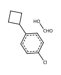 Clc1ccc(C2CCC2)cc1.O=CO